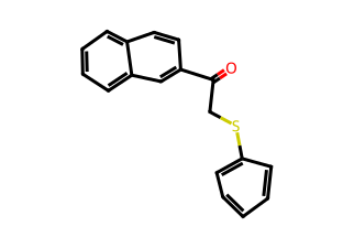 O=C(CSc1ccccc1)c1ccc2ccccc2c1